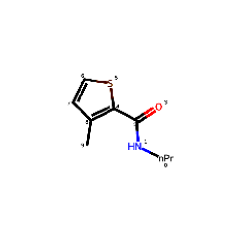 CCCNC(=O)c1sccc1C